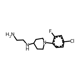 NCCNC1CCN(c2ccc(Cl)cc2F)CC1